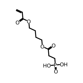 C=CC(=O)OCCCCOC(=O)CCP(=O)(O)O